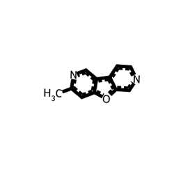 Cc1cc2oc3cnccc3c2cn1